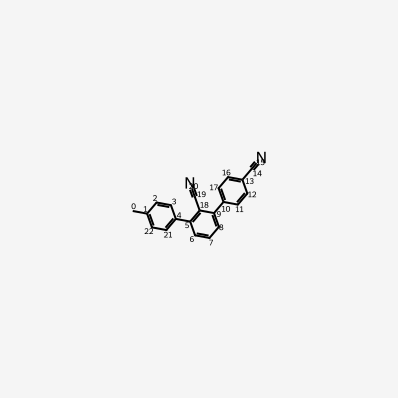 Cc1ccc(-c2cccc(-c3ccc(C#N)cc3)c2C#N)cc1